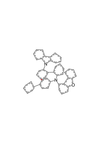 c1ccc(-c2ccc(N(c3ccccc3-c3ccccc3-n3c4ccccc4c4ccccc43)c3cccc4oc5ccccc5c34)cc2)cc1